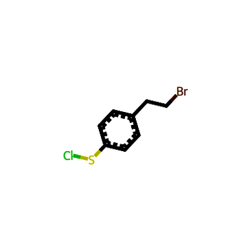 ClSc1ccc(CCBr)cc1